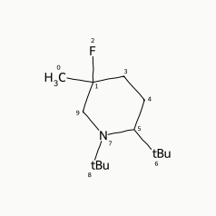 CC1(F)CCC(C(C)(C)C)N(C(C)(C)C)C1